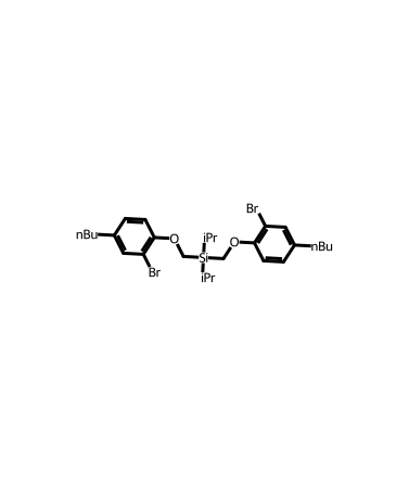 CCCCc1ccc(OC[Si](COc2ccc(CCCC)cc2Br)(C(C)C)C(C)C)c(Br)c1